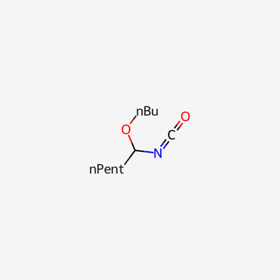 CCCCCC(N=C=O)OCCCC